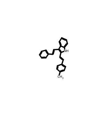 Cc1ccc(/C=C/c2[nH]c3ccccc3c2/C=C/c2ccccc2)cc1